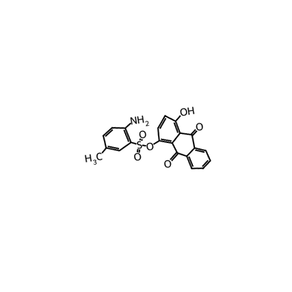 Cc1ccc(N)c(S(=O)(=O)Oc2ccc(O)c3c2C(=O)c2ccccc2C3=O)c1